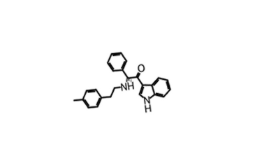 Cc1ccc(CCN[C@@H](C(=O)c2c[nH]c3ccccc23)c2ccccc2)cc1